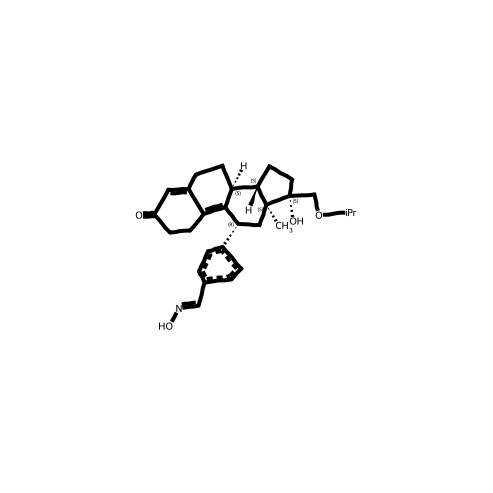 CC(C)OC[C@]1(O)CC[C@H]2[C@@H]3CCC4=CC(=O)CCC4=C3[C@@H](c3ccc(C=NO)cc3)C[C@@]21C